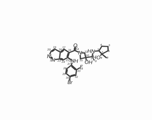 C[C@H](NC1CCCC1(C)O)C1(O)CN(C(=O)c2cc3ccnnc3cc2Nc2ccc(Br)cc2F)C1